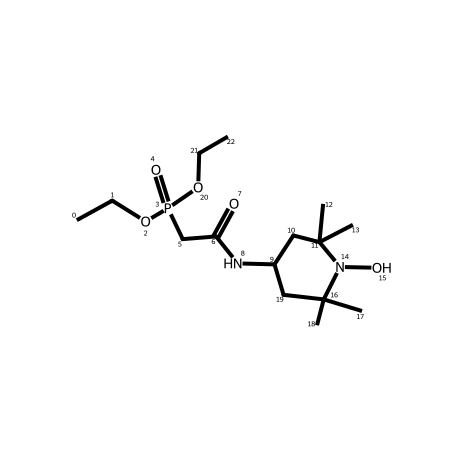 CCOP(=O)(CC(=O)NC1CC(C)(C)N(O)C(C)(C)C1)OCC